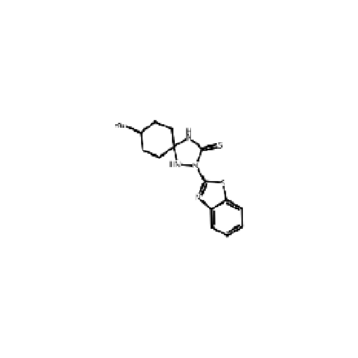 CC(C)(C)C1CCC2(CC1)NC(=S)N(c1nc3ccccc3s1)N2